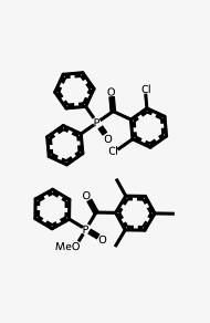 COP(=O)(C(=O)c1c(C)cc(C)cc1C)c1ccccc1.O=C(c1c(Cl)cccc1Cl)P(=O)(c1ccccc1)c1ccccc1